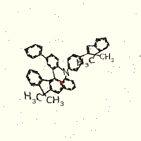 CC1(C)C(c2ccc(N(c3ccccc3)c3ccc(-c4ccccc4)cc3-c3cccc4c3-c3ccccc3C4(C)C)cc2)=Cc2ccccc21